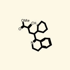 C=C(CC(C1=NCCc2ccccc21)C1CCCCC1)C(=O)OC